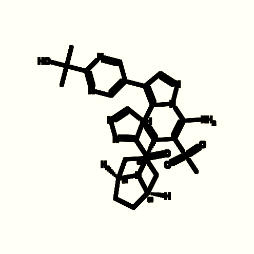 CC(C)(O)c1ncc(-c2cnn3c(N)c(S(C)(=O)=O)c([C@@H]4C[C@H]5CC[C@@H](C4)N5C(=O)c4nnc[nH]4)nc23)cn1